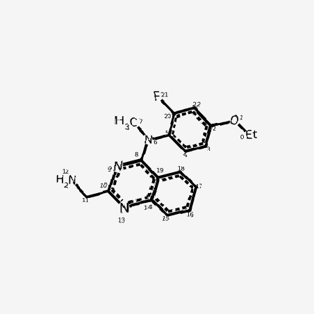 CCOc1ccc(N(C)c2nc(CN)nc3ccccc23)c(F)c1